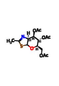 CC(=O)OC[C@H]1OC2SC(C)=N[C@H]2[C@@H](OC(C)=O)[C@@H]1OC(C)=O